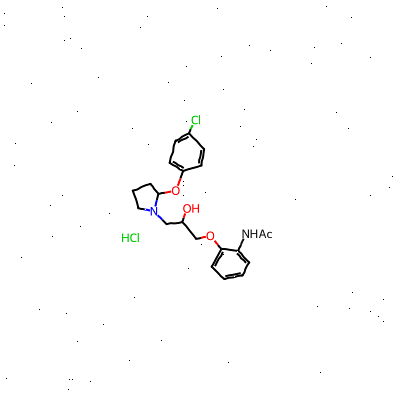 CC(=O)Nc1ccccc1OCC(O)CN1CCCC1Oc1ccc(Cl)cc1.Cl